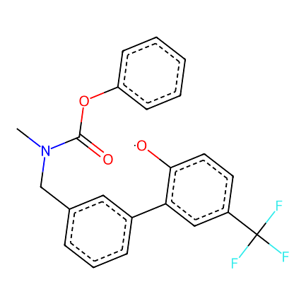 CN(Cc1cccc(-c2cc(C(F)(F)F)ccc2[O])c1)C(=O)Oc1ccccc1